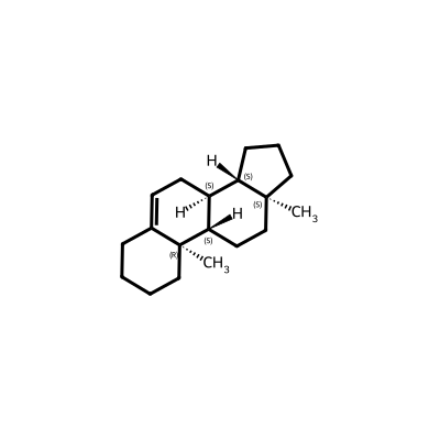 C[C@@]12CCC[C@H]1[C@@H]1CC=C3CCCC[C@]3(C)[C@H]1CC2